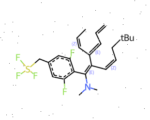 C=C/C=C(\C=C/C)C(/C=C\CC(C)(C)C)=C(\c1c(F)cc(CS(F)(F)F)cc1F)N(C)C